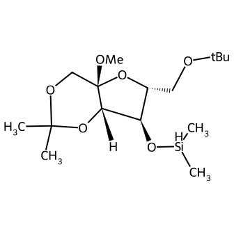 CO[C@]12COC(C)(C)O[C@H]1[C@H](O[SiH](C)C)[C@@H](COC(C)(C)C)O2